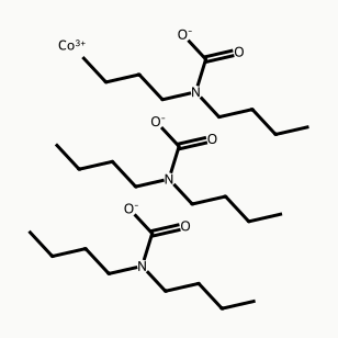 CCCCN(CCCC)C(=O)[O-].CCCCN(CCCC)C(=O)[O-].CCCCN(CCCC)C(=O)[O-].[Co+3]